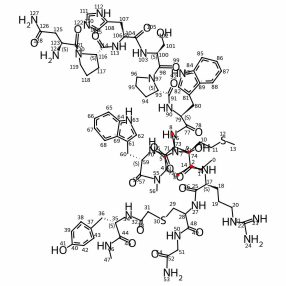 CCCC[C@@H](C(=O)N(C)[C@@H](CCSC)C(=O)N[C@@H](CCCNC(=N)N)C(=O)NC(CSCC(=O)N[C@@H](Cc1ccc(O)cc1)C(=O)NC)C(=O)NCC(N)=O)N(C)C(=O)[C@H](Cc1c[nH]c2ccccc12)NC(=O)[C@H](CO)NC(=O)[C@H](Cc1c[nH]c2ccccc12)NC(=O)[C@@H]1CCCN1C(=O)[C@H](CO)NC(=O)[C@H](Cc1cnc[nH]1)NC(=O)[C@@H]1CCCN1C(=O)[C@@H](N)CC(N)=O